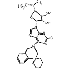 CC(=O)O[C@@H]1[C@H](OC(C)=O)[C@@H](C(C)C(=O)O)O[C@H]1n1cnc2c(N3Cc4ccccc4C4(CCCCC4)C3)nc(Cl)nc21